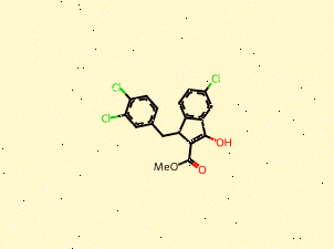 COC(=O)C1=C(O)c2cc(Cl)ccc2C1Cc1ccc(Cl)c(Cl)c1